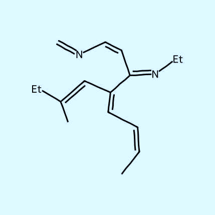 C=N\C=C/C(=N\CC)C(=C\C=C/C)/C=C(\C)CC